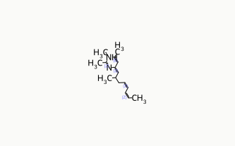 C/C=C\C=C/CC(C)/C=C(/C=C/C)\N=C(\C)NC